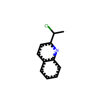 [CH2]C(Cl)c1ccc2ccccc2n1